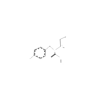 CC(C)C[C@@H](C(=O)O)N(Cc1ccc(I)cc1)C(=O)OC(C)(C)C